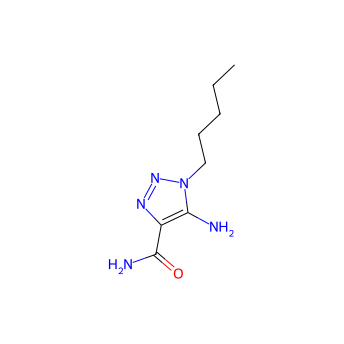 CCCCCn1nnc(C(N)=O)c1N